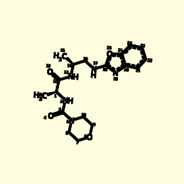 C[C@H](NC(=O)N1CCOCC1)C(=O)N[C@@H](C)CNc1nc2ccccc2o1